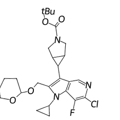 CC(C)(C)OC(=O)N1CC2C(C1)C2c1c(COC2CCCCO2)n(C2CC2)c2c(F)c(Cl)ncc12